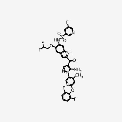 Cc1cc(Oc2c(F)cccc2F)ncc1-n1ncc(C(=O)c2cc3cc(OCC(F)F)c(NS(=O)(=O)c4cncc(F)c4)cc3[nH]2)c1N